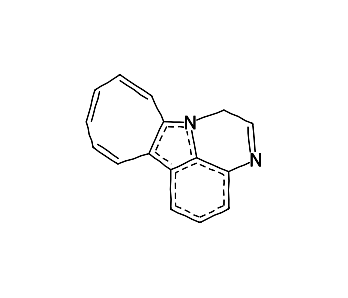 C1=CC=Cc2c(c3cccc4c3n2CC=N4)C=C1